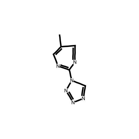 Cc1cnc(-n2cnnn2)nc1